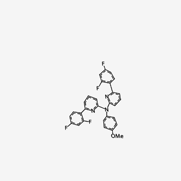 COc1ccc(N(c2cccc(-c3ccc(F)cc3F)n2)c2cccc(-c3ccc(F)cc3F)n2)cc1